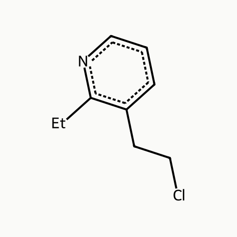 CCc1ncccc1CCCl